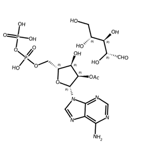 CC(=O)O[C@@H]1[C@H](O)[C@@H](COP(=O)(O)OP(=O)(O)O)O[C@H]1n1cnc2c(N)ncnc21.O=C[C@H](O)[C@H](O)[C@H](O)CO